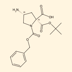 CC(C)(C)OC(=O)[C@@]1(C(=O)O)C[C@@H](N)CN1C(=O)OCc1ccccc1